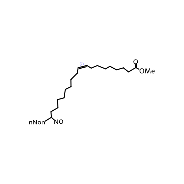 CCCCCCCCCC(CCCCCCCC/C=C\CCCCCCCC(=O)OC)N=O